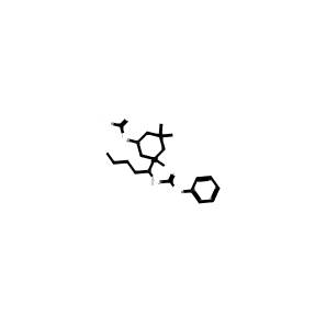 CCCCC(NC(=S)Oc1ccccc1)C1(C)CC(NC(O)=S)CC(C)(C)C1